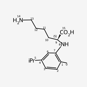 Cc1ccc(C(C)C)cc1N[C@@H](CCCCN)C(=O)O